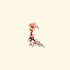 CCOC(C)(C)OC(=O)C1C2OC3C(OC(=O)C31)C2OC(=O)CCC(=O)OC(C)C(F)(F)S(=O)(=O)O